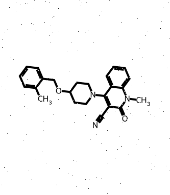 Cc1ccccc1COC1CCN(c2c(C#N)c(=O)n(C)c3ccccc23)CC1